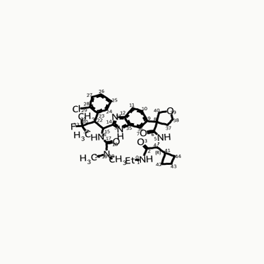 CCNC(=O)[C@H](NC(=O)C1(c2ccc3nc(C(NC(=O)N(C)C)C(c4ccccc4Cl)C(C)(C)F)[nH]c3c2)CCOC1)C1CCC1